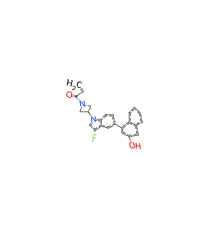 C=CC(=O)N1CC(n2cc(F)c3cc(-c4cc(O)cc5ccccc45)ccc32)C1